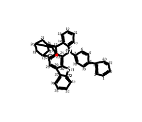 c1ccc(-c2ccc(N(c3ccccc3C3C4CC5CC(C4)CC3C5)c3cccc4c3sc3ccccc34)cc2)cc1